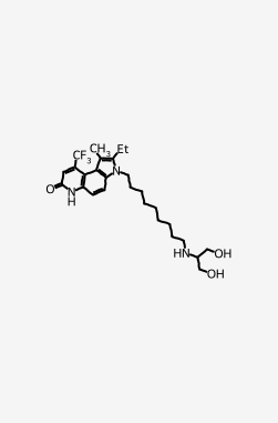 CCc1c(C)c2c3c(C(F)(F)F)cc(=O)[nH]c3ccc2n1CCCCCCCCCNC(CO)CO